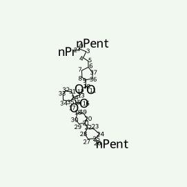 CCCCCC(CCC)CCCC1CCC(C(=O)OCC2(C(=O)OC3CCC(C4CCC(CCCCC)CC4)CC3)CCCCC2)CC1